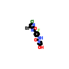 CCc1cc(Cl)nc2oc(-c3ccc(NC(=O)N4CCC(O)C4)cc3F)nc12